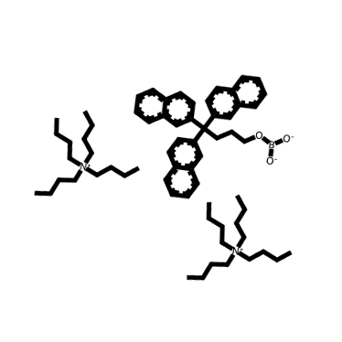 CCCC[N+](CCCC)(CCCC)CCCC.CCCC[N+](CCCC)(CCCC)CCCC.[O-]B([O-])OCCCC(c1ccc2ccccc2c1)(c1ccc2ccccc2c1)c1ccc2ccccc2c1